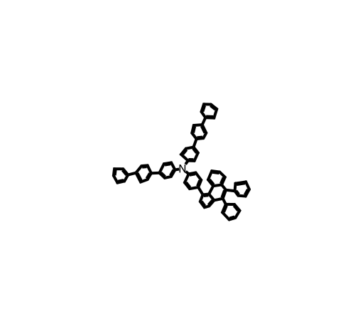 c1ccc(-c2ccc(-c3ccc(N(c4ccc(-c5ccc(-c6ccccc6)cc5)cc4)c4ccc(-c5cccc6c(-c7ccccc7)c(-c7ccccc7)c7ccccc7c56)cc4)cc3)cc2)cc1